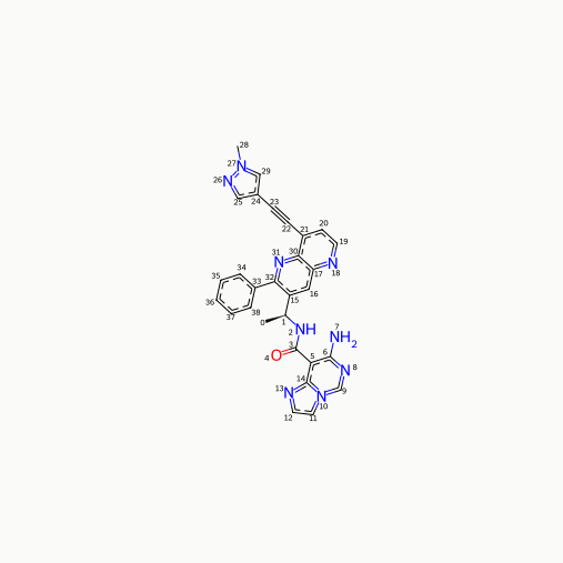 C[C@H](NC(=O)c1c(N)ncn2ccnc12)c1cc2nccc(C#Cc3cnn(C)c3)c2nc1-c1ccccc1